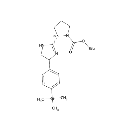 CC(C)(C)OC(=O)N1CCC[C@H]1C1=NC(c2ccc([Si](C)(C)C)cc2)CN1